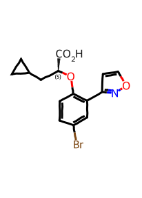 O=C(O)[C@H](CC1CC1)Oc1ccc(Br)cc1-c1ccon1